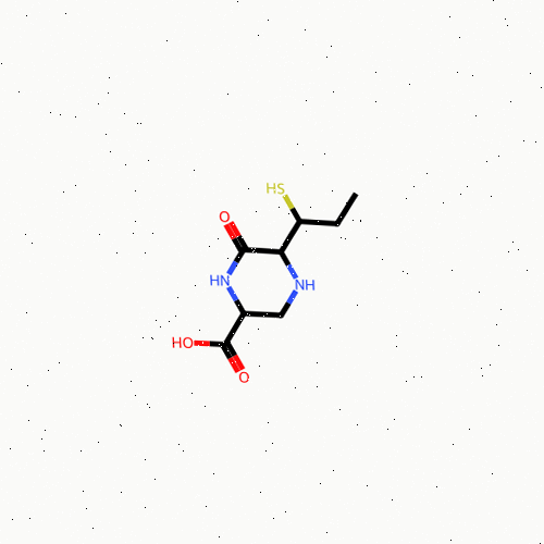 CCC(S)C1NCC(C(=O)O)NC1=O